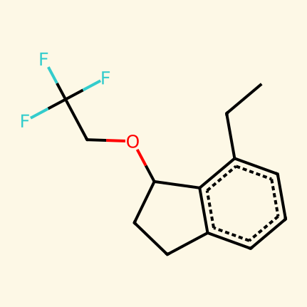 CCc1cccc2c1C(OCC(F)(F)F)CC2